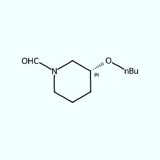 CCCCO[C@@H]1CCCN(C=O)C1